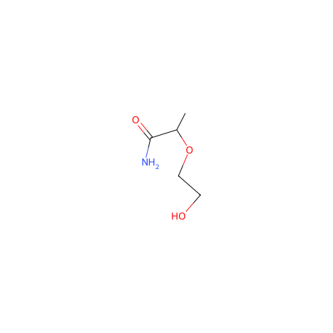 CC(OCCO)C(N)=O